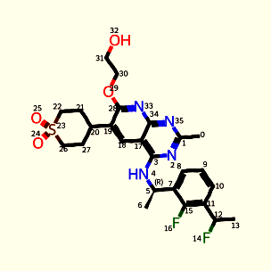 Cc1nc(N[C@H](C)c2cccc(C(C)F)c2F)c2cc(C3CCS(=O)(=O)CC3)c(OCCO)nc2n1